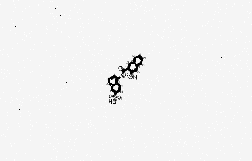 O=C(Nc1cccc2cc(S(=O)(=O)O)ccc12)c1cc2ccccc2cc1O